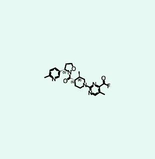 Cc1ccc([C@@H]2CCON2C(=O)[C@H]2CCN(c3ncc(C)c(C(=O)F)n3)C[C@@H]2C)cn1